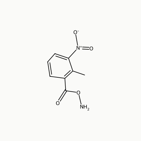 Cc1c(C(=O)ON)cccc1[N+](=O)[O-]